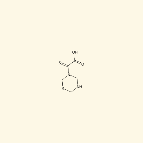 O=C(O)C(=S)N1CNCSC1